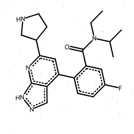 CCN(C(=O)c1cc(F)ccc1-c1cc(C2CCNC2)nc2[nH]ncc12)C(C)C